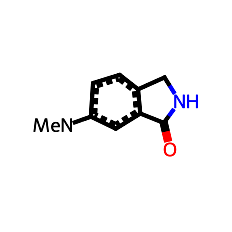 CNc1ccc2c(c1)C(=O)NC2